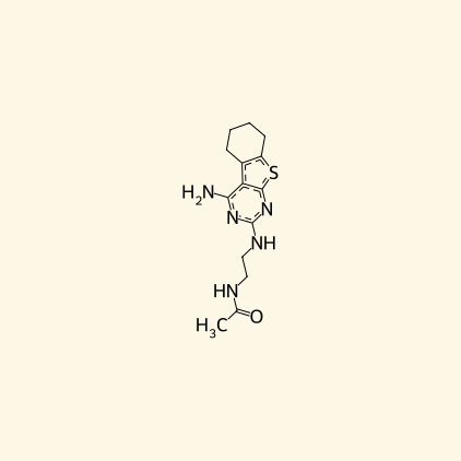 CC(=O)NCCNc1nc(N)c2c3c(sc2n1)CCCC3